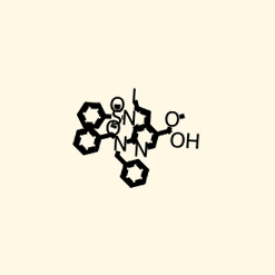 COC(O)c1cnc(N(Cc2ccccc2)Cc2ccccc2)c2c1cc(I)n2S(=O)(=O)c1ccccc1